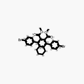 COC(=O)c1c(C(=O)OC)c(-c2ccc(Br)cc2)c2c(c1-c1ccc(Br)cc1)CCCC2